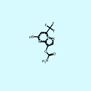 NC(=O)Oc1cnn2c(C(F)(F)F)cc(S)nc12